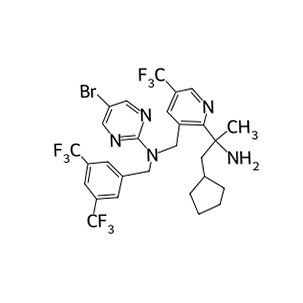 CC(N)(CC1CCCC1)c1ncc(C(F)(F)F)cc1CN(Cc1cc(C(F)(F)F)cc(C(F)(F)F)c1)c1ncc(Br)cn1